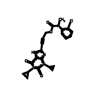 CN(C(=O)OCC#Cc1nc2c([nH]1)c(=O)n(C1CC1)c(=O)n2C1CC1)c1ccccc1Cl